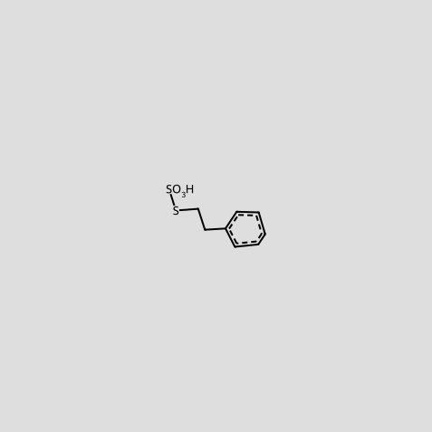 O=S(=O)(O)SCCc1ccccc1